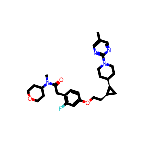 Cc1cnc(N2CCC([C@H]3C[C@H]3CCOc3ccc(CC(=O)N(C)C4CCOCC4)c(F)c3)CC2)nc1